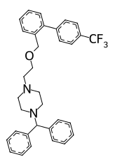 FC(F)(F)c1ccc(-c2ccccc2COCCN2CCN(C(c3ccccc3)c3ccccc3)CC2)cc1